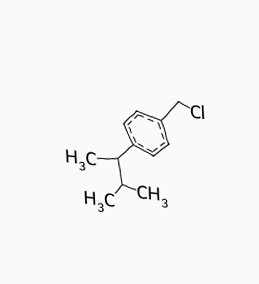 CC(C)C(C)c1ccc(CCl)cc1